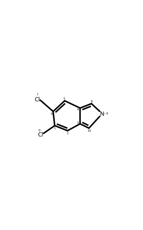 Clc1cc2c(cc1Cl)=C[N]C=2